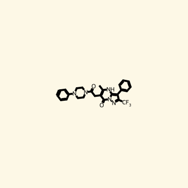 Cc1[nH]c2c(-c3ccccc3)c(C(F)(F)F)nn2c(=O)c1CC(=O)N1CCN(c2cc#ccc2)CC1